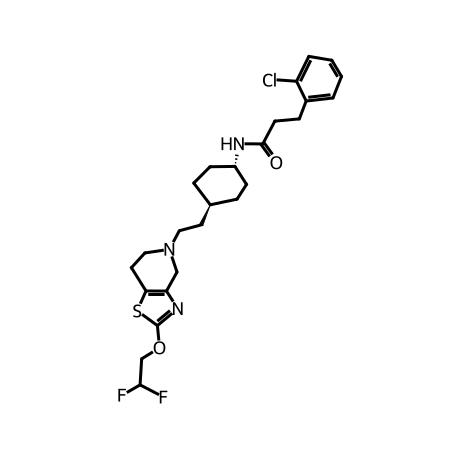 O=C(CCc1ccccc1Cl)N[C@H]1CC[C@H](CCN2CCc3sc(OCC(F)F)nc3C2)CC1